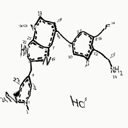 Cl.Cn1cc(-c2nc3c(-c4ccc(CN)c(F)c4)ccnc3[nH]2)cn1